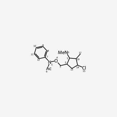 CNC1C(CON(C(C)=O)c2ccccc2)CC(Cl)C1C